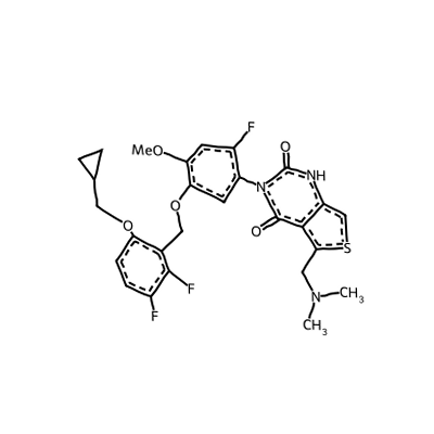 COc1cc(F)c(-n2c(=O)[nH]c3csc(CN(C)C)c3c2=O)cc1OCc1c(OCC2CC2)ccc(F)c1F